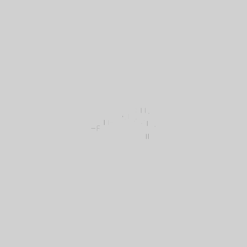 C.C.C.F.F.F